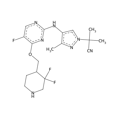 Cc1nn(C(C)(C)C#N)cc1Nc1ncc(F)c(OCC2CCNCC2(F)F)n1